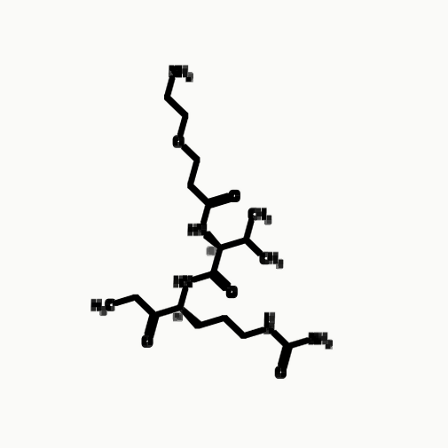 CCC(=O)[C@H](CCCNC(N)=O)NC(=O)[C@@H](NC(=O)CCOCCN)C(C)C